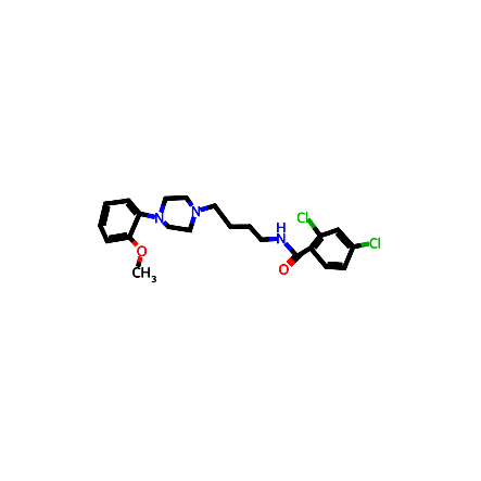 COc1ccccc1N1CCN(CCCCNC(=O)c2ccc(Cl)cc2Cl)CC1